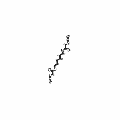 O=C=NCC(=O)OCCCCCCOC(=O)CN=C=O